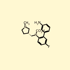 CN1CC[C@@H](CN(C(=O)O)c2ccc(F)cc2-c2cccc(N)c2)C1